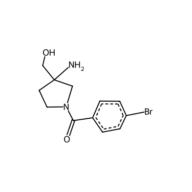 NC1(CO)CCN(C(=O)c2ccc(Br)cc2)C1